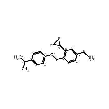 CC(C)c1ccc(OCc2ccc(CN)cc2C2CC2)cc1